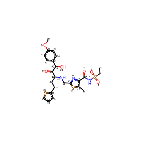 CCS(=O)(=O)NC(=O)c1nc(CNC(CCc2cccs2)C(=O)[C@H](O)c2ccc(OC)cc2)sc1C